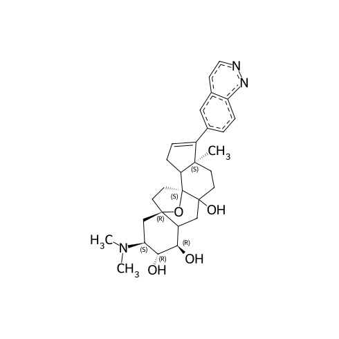 CN(C)[C@H]1C[C@@]23CC[C@]4(O2)C2CC=C(c5ccc6nnccc6c5)[C@@]2(C)CCC4(O)CC3[C@@H](O)[C@@H]1O